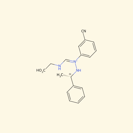 C[C@H](N[N+](=CNCC(=O)O)c1cccc(C#N)c1)c1ccccc1